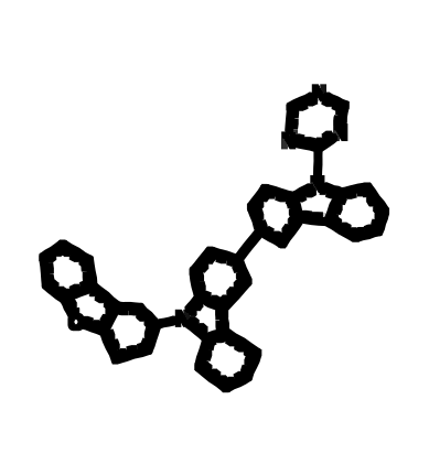 c1ccc2c(c1)oc1ccc(-n3c4ccccc4c4cc(-c5ccc6c(c5)c5ccccc5n6-c5ncncn5)ccc43)cc12